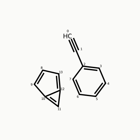 C#Cc1ccccc1.c1cc2cc-2c1